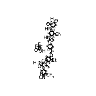 CCc1cc(N2C(=S)N(c3cnc(C#N)c(C(F)(F)F)c3)C(=O)C2(C)C)ccc1OCCC1CCN(CC(=O)Nc2cc(C#N)cc(NC3CCC(=O)NC3=O)c2)CC1.O=C(O)C(F)(F)F